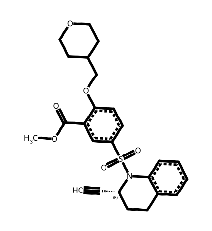 C#C[C@H]1CCc2ccccc2N1S(=O)(=O)c1ccc(OCC2CCOCC2)c(C(=O)OC)c1